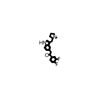 CN1CCCC1Cc1c[nH]c2ccc(CC(=O)c3ccc(F)c(F)c3)cc12